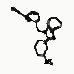 N#Cc1cccc(Cn2c(N3CCCC(N)C3)nc3ccccc32)c1